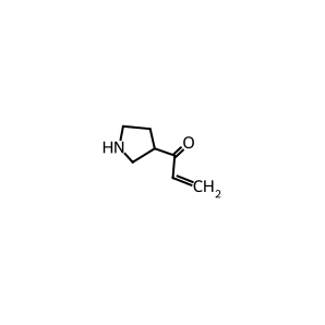 C=CC(=O)C1CCNC1